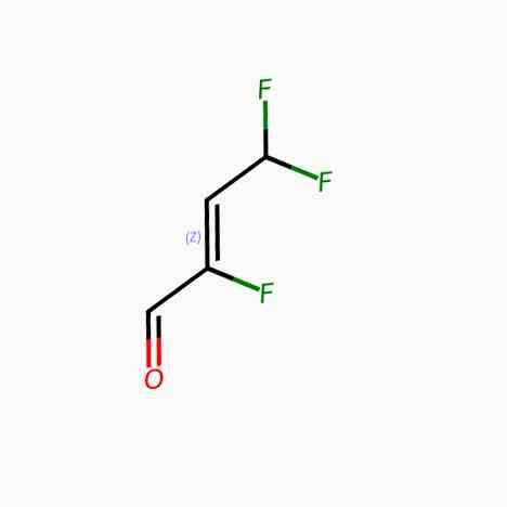 O=C/C(F)=C/C(F)F